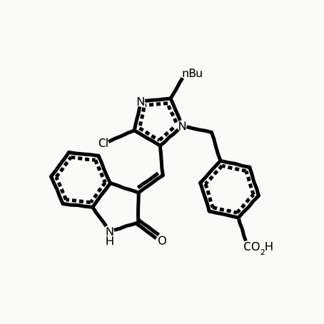 CCCCc1nc(Cl)c(C=C2C(=O)Nc3ccccc32)n1Cc1ccc(C(=O)O)cc1